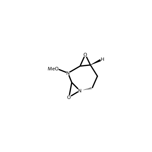 CON1C2O[C@@H]2CC[N@]2OC12